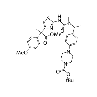 COC(=O)C(C)(c1ccc(OC)cc1)c1csc(NC(=O)NC(C)c2ccc(N3CCN(C(=O)OC(C)(C)C)CC3)cc2)n1